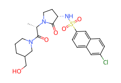 C[C@@H](C(=O)N1CCCC(CO)C1)N1CC[C@H](NS(=O)(=O)c2ccc3cc(Cl)ccc3c2)C1=O